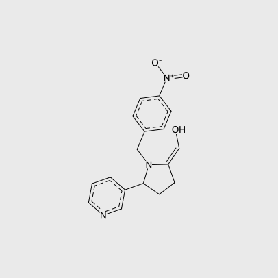 O=[N+]([O-])c1ccc(CN2/C(=C\O)CCC2c2cccnc2)cc1